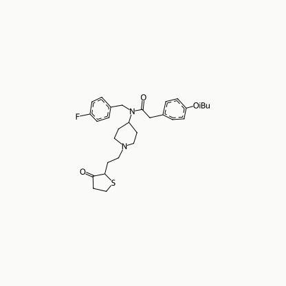 CC(C)COc1ccc(CC(=O)N(Cc2ccc(F)cc2)C2CCN(CCC3SCCC3=O)CC2)cc1